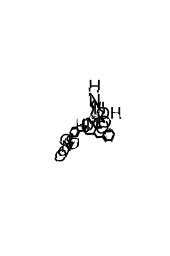 O=C(CC(Cc1ccccc1)C(=O)N[C@@H](Cc1c[nH]cn1)C(=O)O)c1cccc(S(=O)(=O)N2CCOCC2)c1